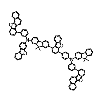 CC1(C)c2ccccc2-c2ccc(N(c3ccc(-c4ccc(-c5ccc6c(c5)C(C)(C)c5cc(N(c7cccc(-c8cccc9oc%10c%11ccccc%11ccc%10c89)c7)c7ccc8c(c7)oc7ccccc78)ccc5-6)c5c4oc4ccccc45)cc3)c3cccc(-c4cccc5oc6c7ccccc7ccc6c45)c3)cc21